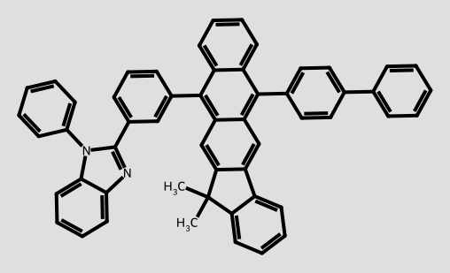 CC1(C)c2ccccc2-c2cc3c(-c4ccc(-c5ccccc5)cc4)c4ccccc4c(-c4cccc(-c5nc6ccccc6n5-c5ccccc5)c4)c3cc21